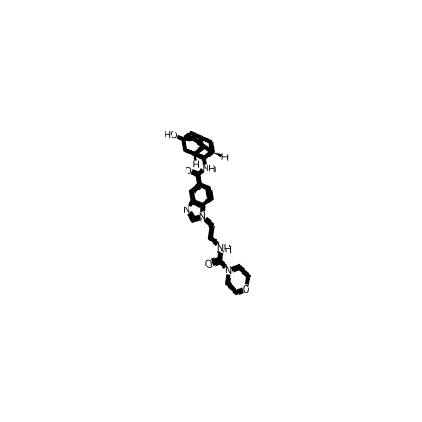 O=C(NC1[C@H]2CC3C[C@H]1CC(O)(C3)C2)c1ccc2c(c1)ncn2CCNC(=O)N1CCOCC1